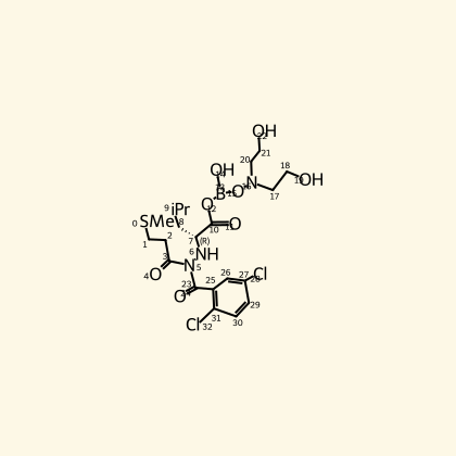 CSCCC(=O)N(N[C@H](CC(C)C)C(=O)OB(O)ON(CCO)CCO)C(=O)c1cc(Cl)ccc1Cl